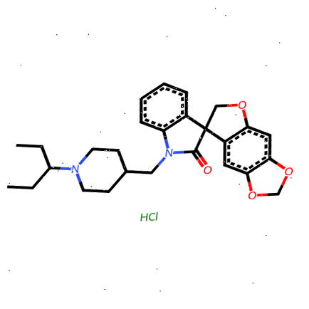 CCC(CC)N1CCC(CN2C(=O)C3(COc4cc5c(cc43)OCO5)c3ccccc32)CC1.Cl